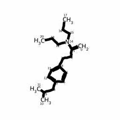 C=C(CCc1ccc(CC(C)C)cc1)N(CCC)CCC